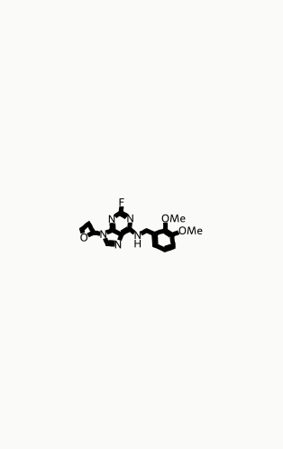 COc1cccc(CNc2nc(F)nc3c2ncn3C2CCO2)c1OC